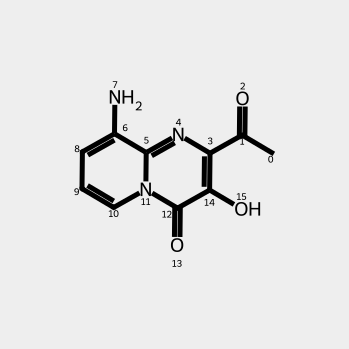 CC(=O)c1nc2c(N)cccn2c(=O)c1O